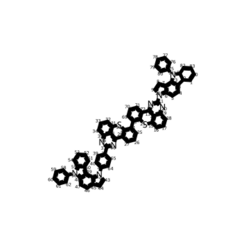 C1=CC2c3ccc4c(ccn4-c4nc5c6c(cccc6n4)Sc4c(-c6cccc7c6Sc6cccc8nc(-c9ccc(-n%10ccc%11ccc%12c(c%13ccccc%13n%12-c%12ccccc%12)c%11%10)cc9)nc-7c68)cccc4-5)c3N(c3ccccc3)C2C=C1